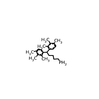 Cc1ccc(C(CCCCP)c2ccc(C)c(C)c2C)c(C)c1C